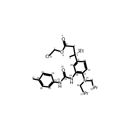 CC[C@](C)(CC(=O)OCCl)c1ccc(N(CC(C)C)CC(C)C)c(NC(=O)Nc2ccc(C)cc2)c1